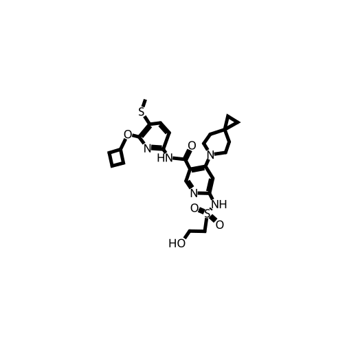 CSc1ccc(NC(=O)c2cnc(NS(=O)(=O)CCO)cc2N2CCC3(CC2)CC3)nc1OC1CCC1